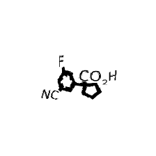 N#Cc1cc(F)cc(C2(C(=O)O)CCCC2)c1